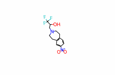 O=[N+]([O-])c1ccc2c(c1)CCN(CC(O)C(F)(F)F)CC2